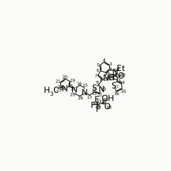 CCN(c1cccc2cc(-c3ncc(CN4CCN(c5cccc(C)n5)CC4)s3)[nH]c12)S(=O)(=O)c1cccs1.O=C(O)C(F)(F)F